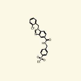 CCS(=O)(=O)c1ccc(CNC(=O)c2ccc3c(c2)ncn3Cc2ccccc2C(F)(F)F)cc1